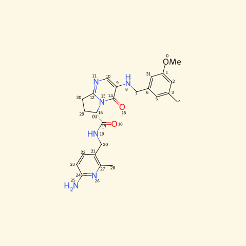 COc1cc(C)cc(CNc2cnc3n(c2=O)[C@H](C(=O)NCc2ccc(N)nc2C)CC3)c1